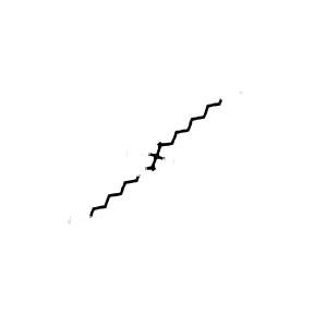 CCCCCCCCCCCCCCCCCC(=O)C(CC)(CCCC)C(=O)OCCCCCCCCCCCCCCCC